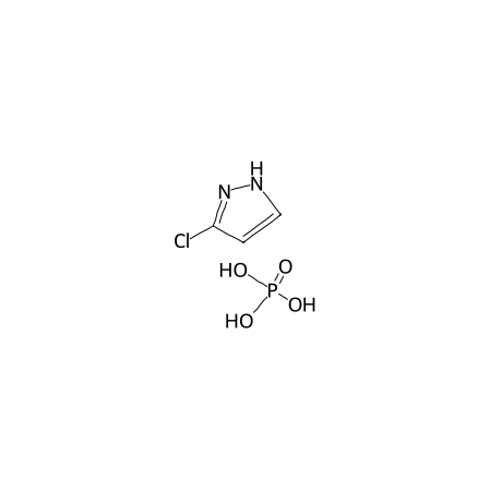 Clc1cc[nH]n1.O=P(O)(O)O